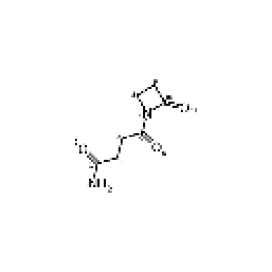 NC(=O)CCC(=O)N1CCC1=O